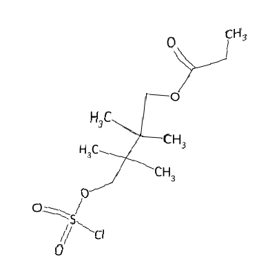 CCC(=O)OCC(C)(C)C(C)(C)COS(=O)(=O)Cl